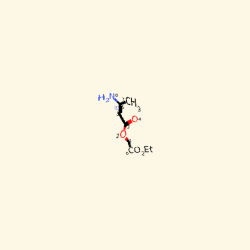 CCOC(=O)COC(=O)/C=C(\C)N